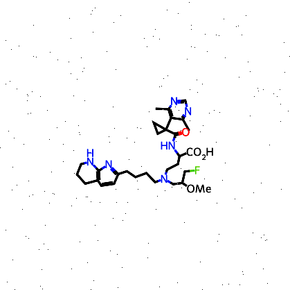 COC(CF)CN(CCCCc1ccc2c(n1)NCCC2)CCC(NC(=O)C1(c2c(C)ncnc2C)CC1)C(=O)O